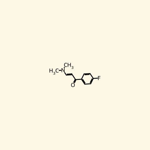 CN(C)C=CC(=O)c1ccc(F)cc1